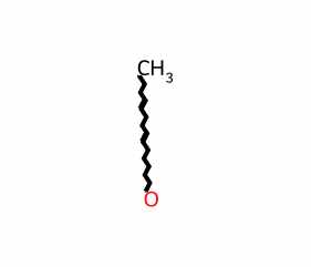 CCCCC=CCC/C=C/CCCCCC=O